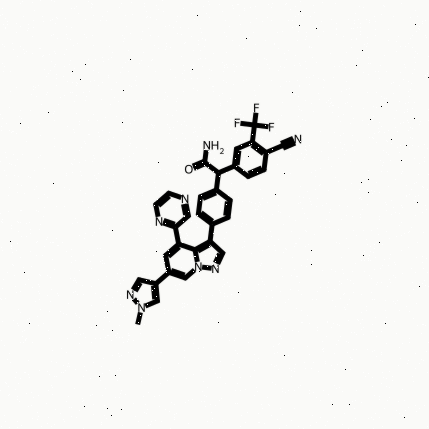 Cn1cc(-c2cc(-c3cnccn3)c3c(-c4ccc(C(C(N)=O)c5ccc(C#N)c(C(F)(F)F)c5)cc4)cnn3c2)cn1